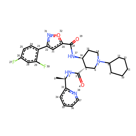 C[C@@H](NC(=O)[C@H]1CN(C2CCCCC2)CC[C@@H]1NC(=O)c1cc(-c2ccc(F)cc2F)no1)c1ccccn1